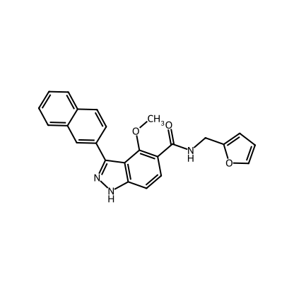 COc1c(C(=O)NCc2ccco2)ccc2[nH]nc(-c3ccc4ccccc4c3)c12